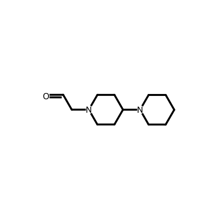 O=CCN1CCC(N2CCCCC2)CC1